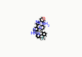 COc1cccc(F)c1-c1nc(Nc2cc(N3CCC[C@H](N)C3)c(-c3cnn(C4CCOCC4)c3)cn2)ccc1C#N